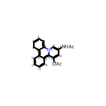 CC(=O)NC1=CN2C3=CC=CCC3=c3ccccc3=C2C(OC(C)=O)=C1